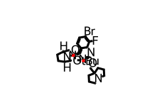 CC(C)(C)OC(=O)N1[C@@H]2CC[C@H]1CN(c1nc(OCC34CCCN3CCC4)nc3c(F)c(Br)ccc13)C2